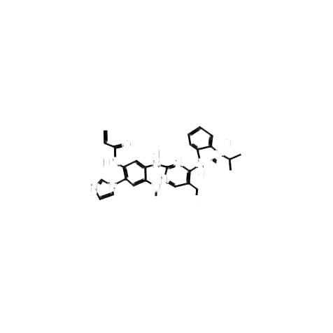 C=CC(=O)Nc1cc(Nc2ncc(CI)c(Nc3ccccc3S(=O)(=O)C(C)C)n2)c(OC)cc1-n1ccnc1